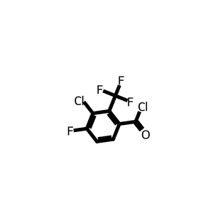 O=C(Cl)c1ccc(F)c(Cl)c1C(F)(F)F